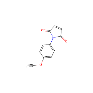 C#COc1ccc(N2C(=O)C=CC2=O)cc1